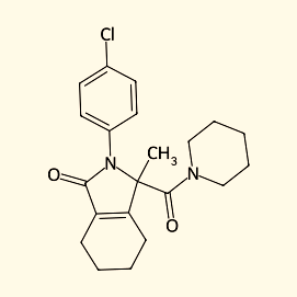 CC1(C(=O)N2CCCCC2)C2=C(CCCC2)C(=O)N1c1ccc(Cl)cc1